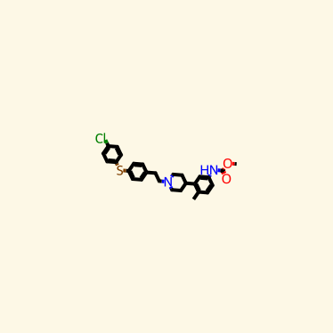 COC(=O)Nc1ccc(C)c(C2CCN(CCc3ccc(Sc4ccc(Cl)cc4)cc3)CC2)c1